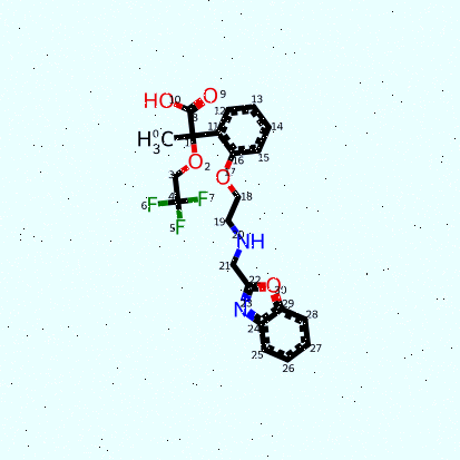 CC(OCC(F)(F)F)(C(=O)O)c1ccccc1OCCNCc1nc2ccccc2o1